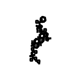 C=C(C)[C@@H]1CC[C@]2(C(=O)N[C@@H]3C[C@H](C(=O)N4CCCCC4)C3(C)C)CC[C@]3(C)[C@H](CC[C@@H]4[C@@]5(C)CC[C@H](OC(=O)CC(C)(C)C(=O)OCOC)C(C)(C)[C@@H]5CC[C@]43C)[C@@H]12